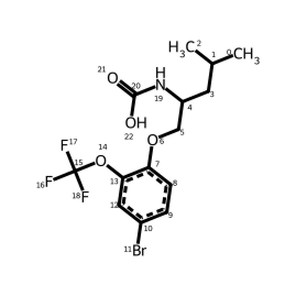 CC(C)CC(COc1ccc(Br)cc1OC(F)(F)F)NC(=O)O